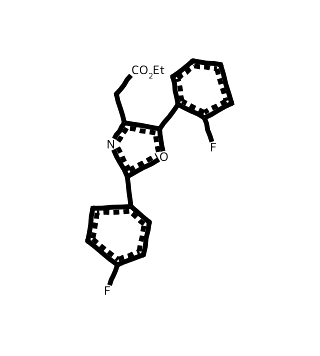 CCOC(=O)Cc1nc(-c2ccc(F)cc2)oc1-c1ccccc1F